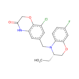 O=C(O)C[C@H]1COc2cc(F)ccc2N1Cc1cc(Cl)c2c(c1)NC(=O)CO2